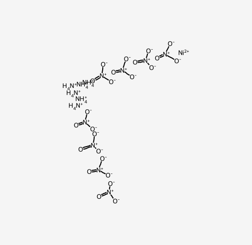 O=[N+]([O-])[O-].O=[N+]([O-])[O-].O=[N+]([O-])[O-].O=[N+]([O-])[O-].O=[N+]([O-])[O-].O=[N+]([O-])[O-].O=[N+]([O-])[O-].O=[N+]([O-])[O-].[NH4+].[NH4+].[NH4+].[NH4+].[NH4+].[NH4+].[Ni+2]